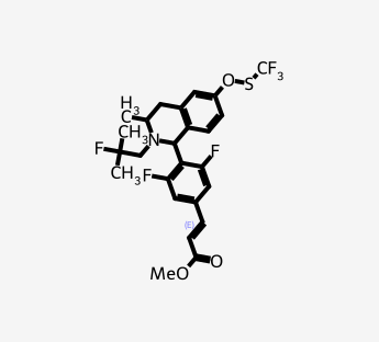 COC(=O)/C=C/c1cc(F)c(C2c3ccc(OSC(F)(F)F)cc3CC(C)N2CC(C)(C)F)c(F)c1